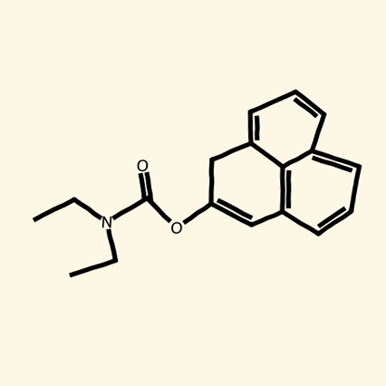 CCN(CC)C(=O)OC1=Cc2cccc3cccc(c23)C1